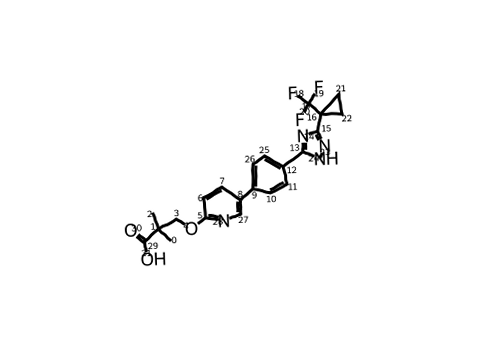 CC(C)(COc1ccc(-c2ccc(-c3nc(C4(C(F)(F)F)CC4)n[nH]3)cc2)cn1)C(=O)O